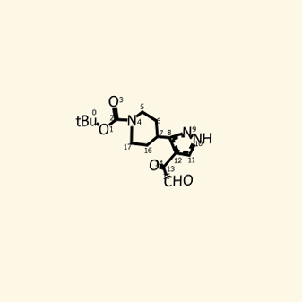 CC(C)(C)OC(=O)N1CCC(c2n[nH]cc2C(=O)C=O)CC1